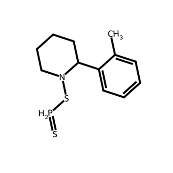 Cc1ccccc1C1CCCCN1S[PH2]=S